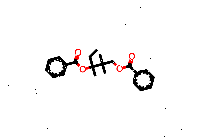 CCC(C)(OC(=O)c1ccccc1)C(C)(C)COC(=O)c1ccccc1